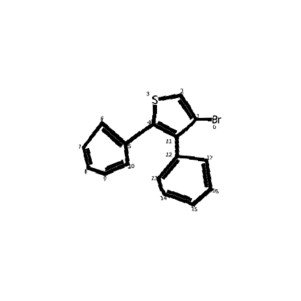 Brc1csc(-c2ccccc2)c1-c1ccccc1